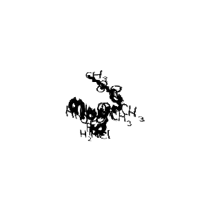 CCCCCCOC(=O)CCC(=O)N1CCC(C(C)CCN(C)C(=O)[C@@H](Cc2cc(Cl)c(N)c(C(F)(F)F)c2)OC(=O)N2CCC(N3CCc4ccccc4NC3=O)CC2)CC1